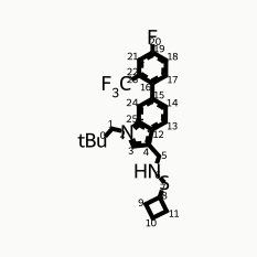 CC(C)(C)Cn1cc(CNSC2CCC2)c2ccc(-c3ccc(F)cc3C(F)(F)F)cc21